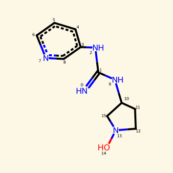 N=C(Nc1cccnc1)NC1CCN(O)C1